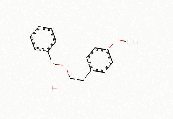 COc1ccc(C[C@H](O)OCc2ccccc2)cc1